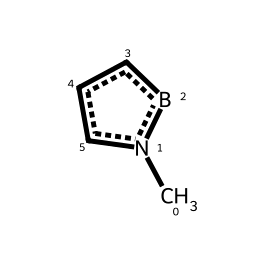 Cn1bccc1